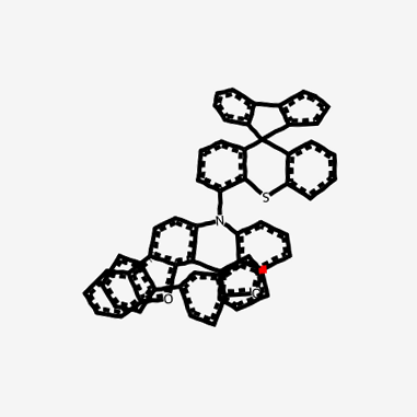 c1ccc(-c2ccc3oc4cccc(N(c5cccc6c5Sc5ccccc5C65c6ccccc6-c6ccccc65)c5ccc6c(oc7ccccc76)c5-c5ccccc5)c4c3c2)cc1